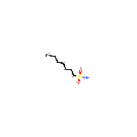 CC(C)CCCCCCS(N)(=O)=O